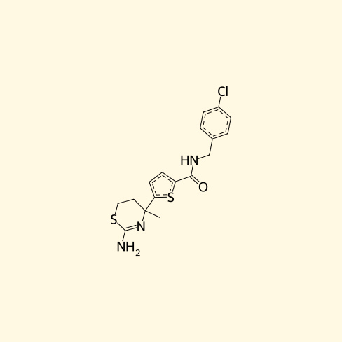 CC1(c2ccc(C(=O)NCc3ccc(Cl)cc3)s2)CCSC(N)=N1